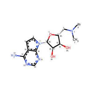 CC(C)N(C)C[C@H]1O[C@@H](n2ccc3c(N)ncnc32)[C@H](O)[C@@H]1O